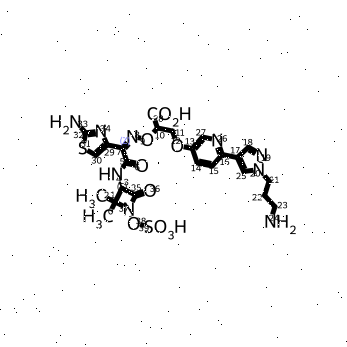 CC1(C)[C@H](NC(=O)/C(=N\OC(COc2ccc(-c3cnn(CCCN)c3)nc2)C(=O)O)c2csc(N)n2)C(=O)N1OS(=O)(=O)O